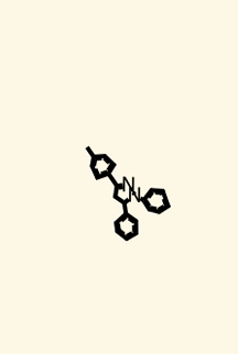 Cc1ccc(C2=NN(c3ccccc3)C(c3ccccc3)C2)cc1